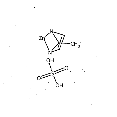 CC1[N]2C=C[N]1[Zn]2.O=S(=O)(O)O